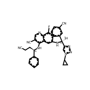 [2H][C@](Nc1cc(F)c2ncc(C#N)c(N[C@H](CCC#N)c3ccccc3)c2c1)(c1cccc(C#N)c1)c1cn(C2CC2)nn1